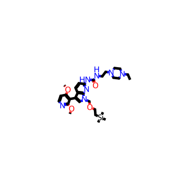 CCN1CCN(CCNC(=O)Nc2ccc3c(-c4c(OC)ccnc4OC)cn(COCC[Si](C)(C)C)c3n2)CC1